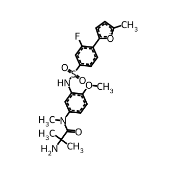 COc1ccc(N(C)C(=O)C(C)(C)N)cc1NS(=O)(=O)c1ccc(-c2ccc(C)o2)c(F)c1